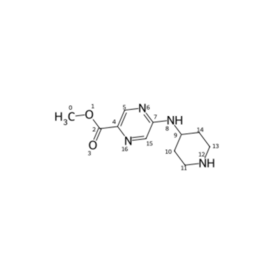 COC(=O)c1cnc(NC2CCNCC2)cn1